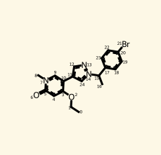 CCOc1cc(=O)n(C)cc1-c1cnn(C(C)c2ccc(Br)cc2)c1